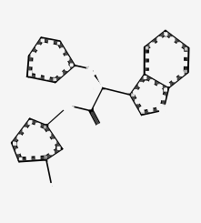 [CH2]C(=O)c1cccc(OC(=O)[C@@H](Nc2ccccc2)c2csc3ccccc23)c1